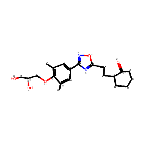 Cc1cc(-c2noc(CCC3CCCCC3=O)n2)cc(C)c1OC[C@@H](O)CO